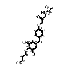 CS(=O)(=O)NCC(=O)COc1ccc(Cc2cc(Cl)c(OCCCCl)c(Cl)c2)cc1